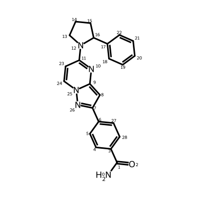 NC(=O)c1ccc(-c2cc3nc(N4CCCC4c4ccccc4)ccn3n2)cc1